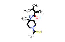 CC(C)C(C)C(=O)NC1(C)CCN(C(C)S)CC1